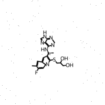 Cc1cc2cc([C@H](C)Nc3ncnc4[nH]cnc34)c(SCC(O)CO)nc2cc1F